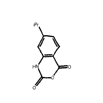 CC(C)c1ccc2c(=O)oc(=O)[nH]c2c1